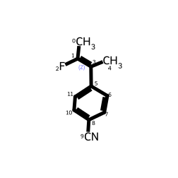 C/C(F)=C(\C)c1ccc(C#N)cc1